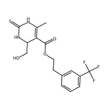 CC1=C(C(=O)OCCc2cccc(C(F)(F)F)c2)C(CO)NC(=S)N1